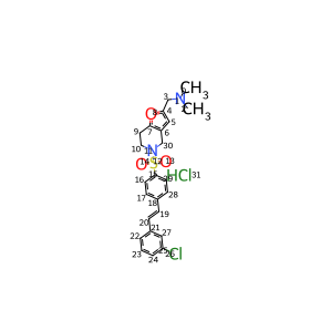 CN(C)Cc1cc2c(o1)CCN(S(=O)(=O)c1ccc(C=Cc3cccc(Cl)c3)cc1)C2.Cl